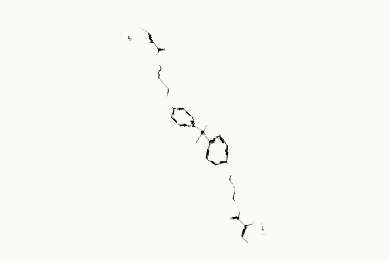 CC=C(OCC)C(=O)OCCCOc1ccc(C(C)(C)c2ccc(OCCCOC(=O)C(=CC)OCC)cc2)cc1